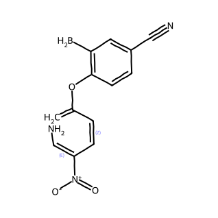 Bc1cc(C#N)ccc1OC(=C)/C=C\C(=C/N)[N+](=O)[O-]